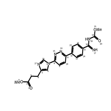 COC(=O)CCc1cn(-c2ccc(-c3ccc(C(=N)NC(=O)OC)cc3)nn2)cn1